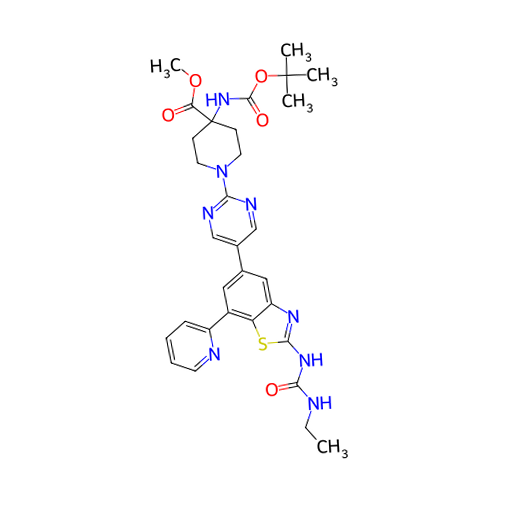 CCNC(=O)Nc1nc2cc(-c3cnc(N4CCC(NC(=O)OC(C)(C)C)(C(=O)OC)CC4)nc3)cc(-c3ccccn3)c2s1